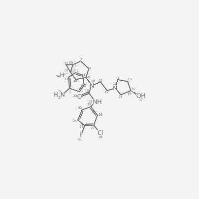 Nc1cccc([C@]23CC[C@@H](N(CCN4CC[C@@H](O)C4)C(=O)Nc4ccc(F)c(Cl)c4)C[C@H]2C3)c1